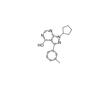 Cc1cccc(-c2nn(C3CCCC3)c3ncnc(O)c23)c1